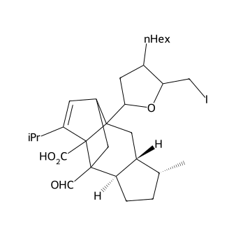 CCCCCCC1CC(C23C[C@@H]4[C@H](C)CC[C@H]4C4(C=O)CC2C=C(C(C)C)C34C(=O)O)OC1CI